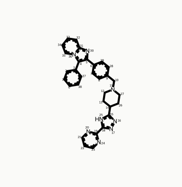 c1ccc(-c2c(-c3ccc(CN4CCC(c5nnc(-c6ncccn6)[nH]5)CC4)cc3)nc3ccccn23)cc1